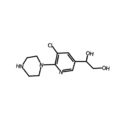 OCC(O)c1cnc(N2CCNCC2)c(Cl)c1